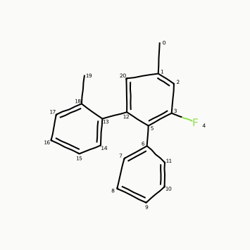 Cc1cc(F)c(-c2ccccc2)c(-c2ccccc2C)c1